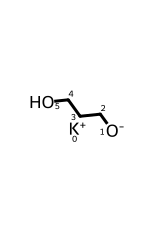 [K+].[O-]CCCO